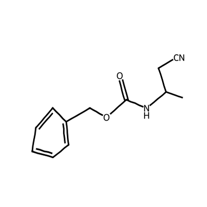 CC(CC#N)NC(=O)OCc1ccccc1